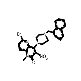 Cn1c(=O)c([N+](=O)[O-])c(N2CCN(Cc3cccc4ccccc34)CC2)c2nc(Br)ccc21